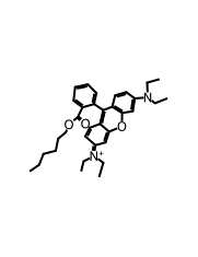 CCCCCCOC(=O)c1ccccc1-c1c2ccc(=[N+](CC)CC)cc-2oc2cc(N(CC)CC)ccc12